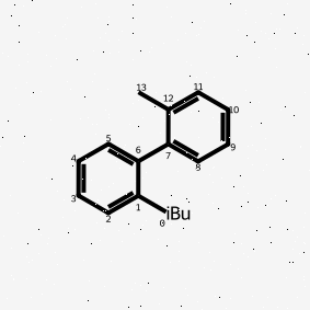 CCC(C)c1ccccc1-c1ccccc1C